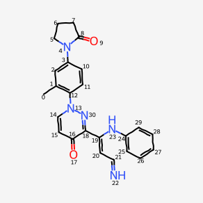 Cc1cc(N2CCCC2=O)ccc1-n1ccc(=O)c(/C(=C/C=N)Nc2ccccc2)n1